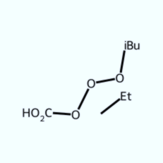 CCC.CCC(C)OOOC(=O)O